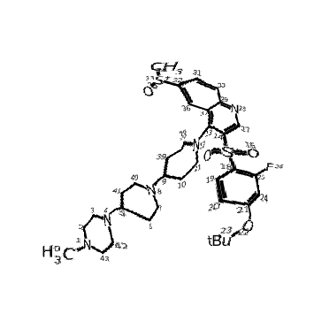 CN1CCN(C2CCN(C3CCN(c4c(S(=O)(=O)c5ccc(OC(C)(C)C)cc5F)cnc5ccc([S+](C)[O-])cc45)CC3)CC2)CC1